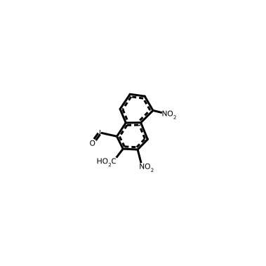 O=Ic1c(C(=O)O)c([N+](=O)[O-])cc2c([N+](=O)[O-])cccc12